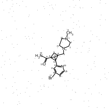 CN1CCN(CC23CC(C(N)=O)(C2)C3c2cc(Br)ccn2)CC1